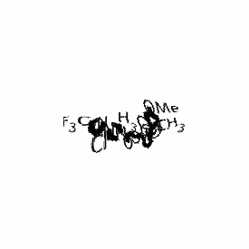 COc1cc(C)c(S(=O)(=O)N2CCCC2COCC(=O)N2CCN(c3ncc(C(F)(F)F)cc3Cl)CC2)c(C)c1